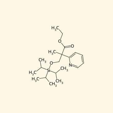 CCOC(=O)C(C)(CO[Si](C(C)C)(C(C)C)C(C)C)c1ccccn1